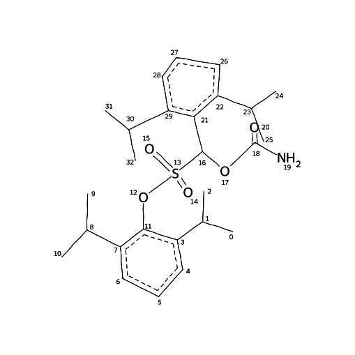 CC(C)c1cccc(C(C)C)c1OS(=O)(=O)C(OC(N)=O)c1c(C(C)C)cccc1C(C)C